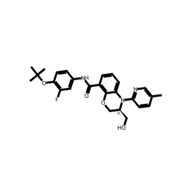 Cc1ccc(N2c3cccc(C(=O)Nc4ccc(OC(C)(C)C)c(F)c4)c3OC[C@@H]2CO)nc1